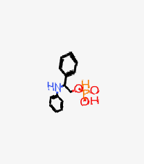 O=[PH](O)OCC(Nc1ccccc1)c1ccccc1